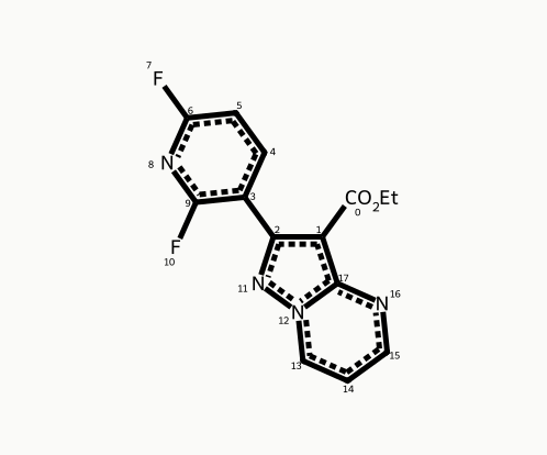 CCOC(=O)c1c(-c2ccc(F)nc2F)nn2cccnc12